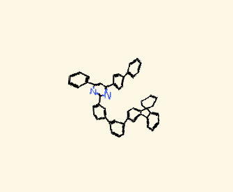 c1ccc(-c2ccc(-c3cc(-c4ccccc4)nc(-c4cccc(-c5cccc(-c6ccc7c(c6)-c6ccccc6C76CCCCC6)c5)c4)n3)cc2)cc1